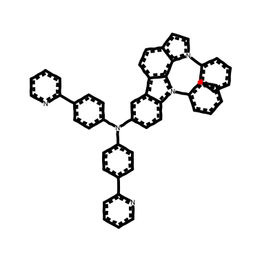 c1ccc(-n2ccc3ccc4c5cc(N(c6ccc(-c7ccccn7)cc6)c6ccc(-c7ccccn7)cc6)ccc5n(-c5ccccc5)c4c32)cc1